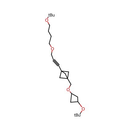 CC(C)(C)OCCCCOCC#CC12CC(COC3CC(OC(C)(C)C)C3)(C1)C2